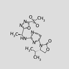 CC(C)[C@H]1COC(=O)N1c1ccnc(N[C@@H](C)c2nnc(S(C)(=O)=O)o2)n1